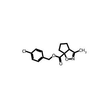 CC1=NOC2(C(=O)OCc3ccc(Cl)cc3)CCCC12